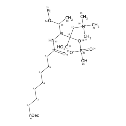 CCCCCCCCCCCCCCCCCC(=O)NC(C(C)OCC)C(C[N+](C)(C)C)(OP(=O)([O-])O)C(=O)O